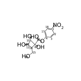 O=[N+]([O-])c1ccc(O[C@@H](O)C2(O)C(O)[C@H](O)C2CO)cc1